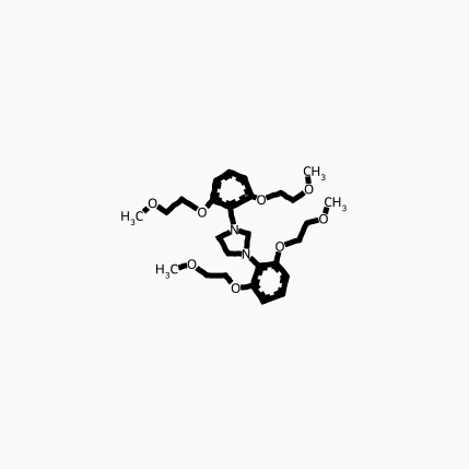 COCCOc1cccc(OCCOC)c1N1CCN(c2c(OCCOC)cccc2OCCOC)C1